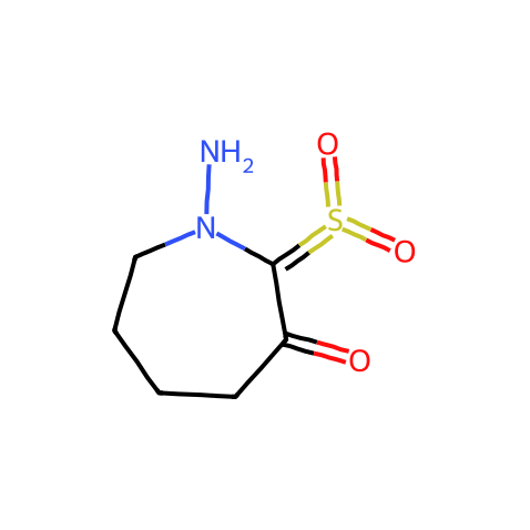 NN1CCCCC(=O)C1=S(=O)=O